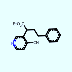 CCOC(=O)C(CCc1ccccc1)c1cnccc1C#N